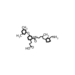 Cc1cc(C)cc(Oc2ccc(CCC(=O)O)c(C(=O)NCCC(C)Cc3cccc(CN)c3)c2)c1